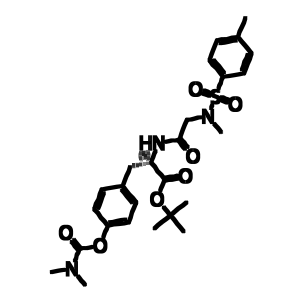 Cc1ccc(S(=O)(=O)N(C)CC(=O)N[C@@H](Cc2ccc(OC(=O)N(C)C)cc2)C(=O)OC(C)(C)C)cc1